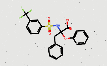 O=C(O)C(Cc1ccccc1)(NS(=O)(=O)c1cccc(C(F)(F)F)c1)Oc1ccccc1